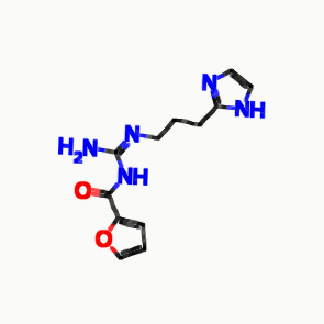 NC(=NCCCc1ncc[nH]1)NC(=O)c1ccco1